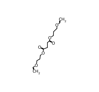 C=COCCCOC(=O)CCC(=O)OCCCOC=C